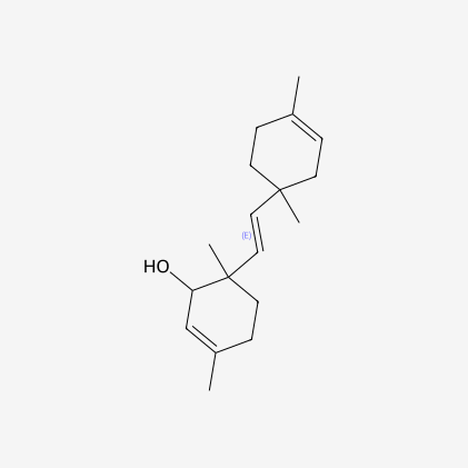 CC1=CCC(C)(/C=C/C2(C)CCC(C)=CC2O)CC1